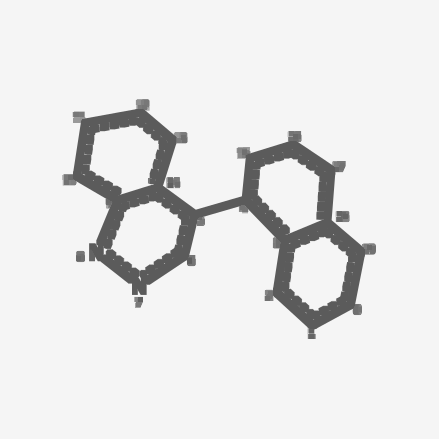 c1ccc2c(-c3cnnc4ccccc34)cccc2c1